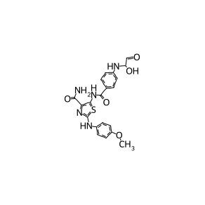 COc1ccc(Nc2nc(C(N)=O)c(NC(=O)c3ccc(NC(O)C=O)cc3)s2)cc1